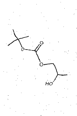 CC(O)COC(=O)OC(C)(C)C